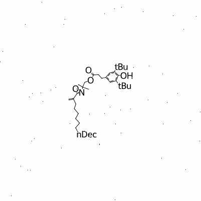 C=C(CCCCCCCCCCCCCCCC)C1=NC(C)(COC(=O)CCc2cc(C(C)(C)C)c(O)c(C(C)(C)C)c2)CO1